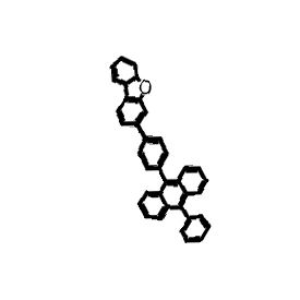 C1=CC2Oc3cc(-c4ccc(-c5c6ccccc6c(-c6ccccc6)c6ccccc56)cc4)ccc3C2C=C1